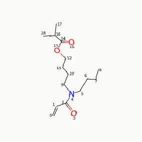 C=CC(=O)N(CCCC)CCCCOC(=O)C(C)C